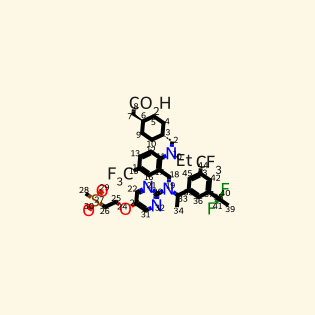 CCN(C[C@H]1CC[C@H](CC(=O)O)CC1)c1ccc(C(F)(F)F)cc1CN(c1ncc(OCCS(C)(=O)=O)cn1)C(C)c1cc(C(C)(F)F)cc(C(F)(F)F)c1